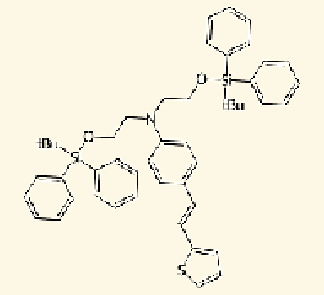 CC(C)(C)[Si](OCCN(CCO[Si](c1ccccc1)(c1ccccc1)C(C)(C)C)c1ccc(/C=C/c2cccs2)cc1)(c1ccccc1)c1ccccc1